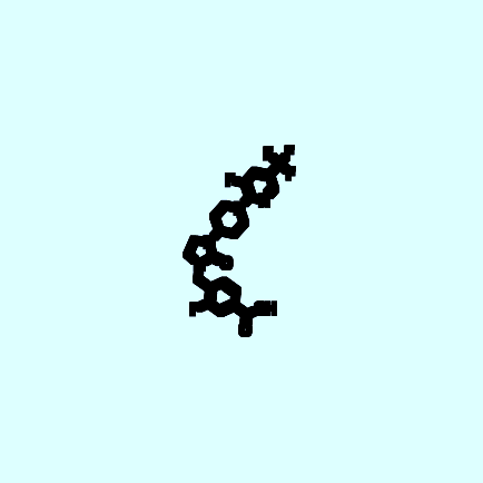 O=C(O)c1ccc(CN2CCN(C3CCN(c4ncc(C(F)(F)F)cc4F)CC3)C2=O)c(F)c1